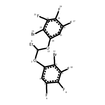 CCC(Oc1cc(F)c(F)c(F)c1Br)Oc1cc(F)c(F)c(F)c1Br